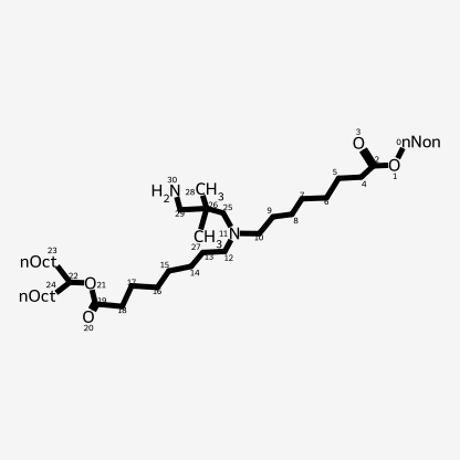 CCCCCCCCCOC(=O)CCCCCCCN(CCCCCCCC(=O)OC(CCCCCCCC)CCCCCCCC)CC(C)(C)CN